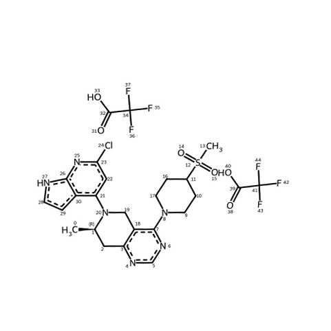 C[C@@H]1Cc2ncnc(N3CCC(S(C)(=O)=O)CC3)c2CN1c1cc(Cl)nc2[nH]ccc12.O=C(O)C(F)(F)F.O=C(O)C(F)(F)F